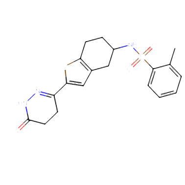 Cc1ccccc1S(=O)(=O)NC1CCc2sc(C3=NNC(=O)CC3)cc2C1